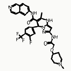 CC1=C(C(=O)Nc2ccc3cnccc3c2)C(c2ccc(C(F)(F)F)c(F)c2)n2nc(NC(=O)COC3CCN(C)CC3)cc2N1